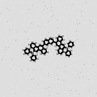 c1ccc(N(c2ccccc2)c2cc3c4ccccc4c(-c4ccc5ccc(-c6cc7c8ccccc8c(N(c8ccccc8)c8ccccc8)cc7c7ccccc67)cc5c4)cc3c3ccccc23)cc1